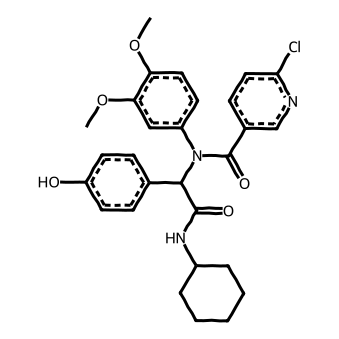 COc1ccc(N(C(=O)c2ccc(Cl)nc2)C(C(=O)NC2CCCCC2)c2ccc(O)cc2)cc1OC